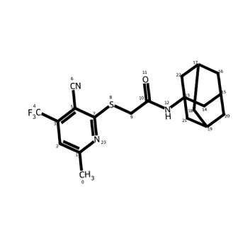 Cc1cc(C(F)(F)F)c(C#N)c(SCC(=O)NC23CC4CC(CC(C4)C2)C3)n1